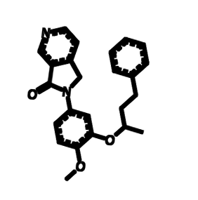 COc1ccc(N2Cc3ccncc3C2=O)cc1OC(C)CCc1ccccc1